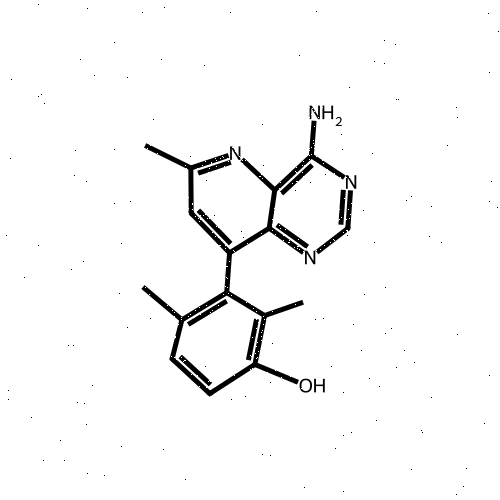 Cc1cc(-c2c(C)ccc(O)c2C)c2ncnc(N)c2n1